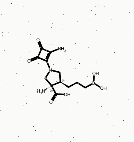 Nc1c(N2C[C@@H](CCCB(O)O)[C@@](N)(C(=O)O)C2)c(=O)c1=O